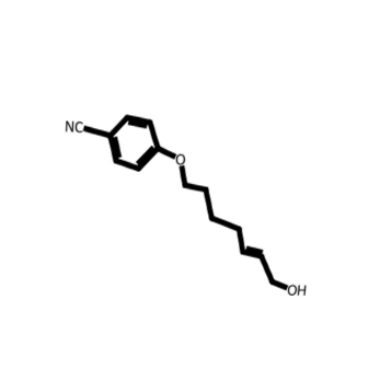 N#Cc1ccc(OCCCCC=CCO)cc1